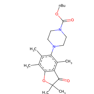 CCCCOC(=O)N1CCN(c2c(C)c(C)c3c(c2C)C(=O)C(C)(C)O3)CC1